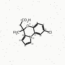 CC1(CC(=O)O)Oc2ccc(Cl)cc2-n2cccc21